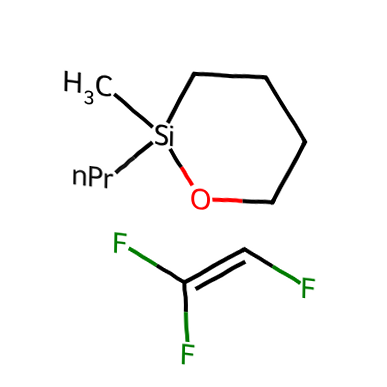 CCC[Si]1(C)CCCCO1.FC=C(F)F